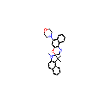 CN1c2ccc3ccccc3c2C(C)(C)C12C=Nc1c(cc(N3CCOCC3)c3ccccc13)O2